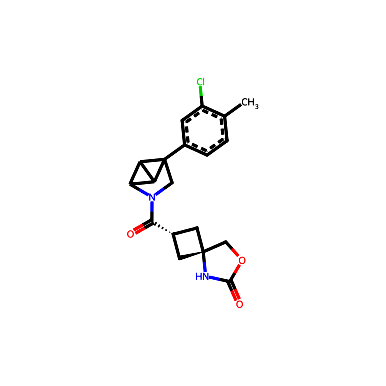 Cc1ccc(C23CN(C(=O)[C@H]4C[C@]5(COC(=O)N5)C4)C4C2C43)cc1Cl